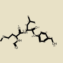 CSCCC(NC=O)C(=O)NC(CC(C)C)C(=O)Oc1ccc(CO)cc1